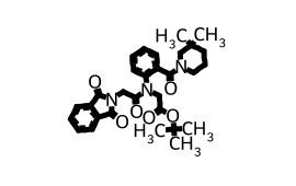 CC1(C)CCCN(C(=O)c2ccccc2N(CC(=O)OC(C)(C)C)C(=O)CN2C(=O)c3ccccc3C2=O)C1